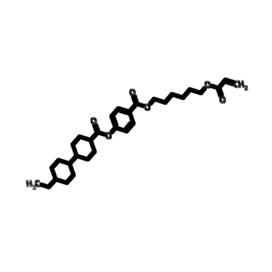 C=CC(=O)OCCCCCCOC(=O)c1ccc(OC(=O)C2CCC(C3CCC(CC)CC3)CC2)cc1